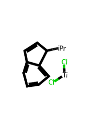 CC(C)[C]1C=Cc2ccccc21.[Cl][Ti][Cl]